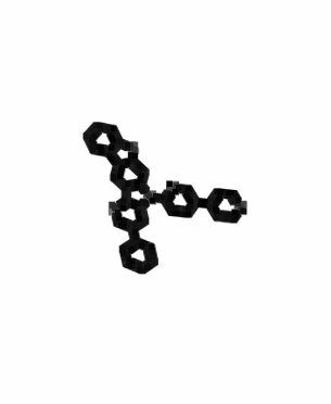 c1ccc(-c2cnc3c4cc5c(cc4n(-c4ccc(-c6ccncc6)cn4)c3c2)sc2ccccc25)cc1